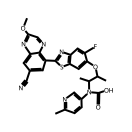 COc1cnc2c(-c3nc4cc(F)c(OC(C)C(C)N(C(=O)O)c5ccc(C)nc5)cc4s3)cc(C#N)cc2n1